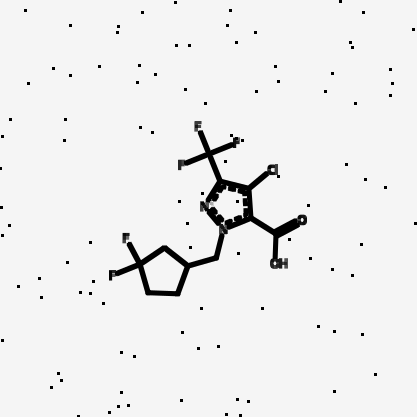 O=C(O)c1c(Cl)c(C(F)(F)F)nn1CC1CCC(F)(F)C1